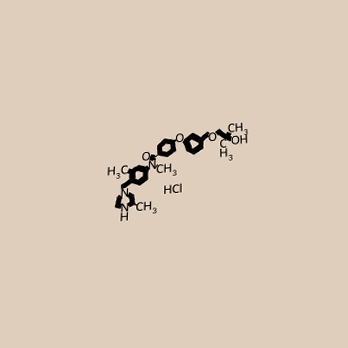 Cc1cc(N(C)C(=O)[C@H]2CC[C@H](Oc3cccc(COCC(C)(C)O)c3)CC2)ccc1CN1CCN[C@@H](C)C1.Cl